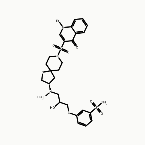 CCn1cc(S(=O)(=O)N2CCC3(CC2)C[C@@H](N(CC(O)COc2cccc(S(N)(=O)=O)c2)C(=O)O)CO3)c(=O)c2ccccc21